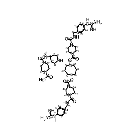 CN(C(=O)N1CCN(C(=O)O)CC1)C1CCNCC1.N=C(N)Nc1ccc(CNC(=O)N2CCN(C(=O)O[C@H]3CCC[C@@H](OC(=O)N4CCN(C(=O)NCc5ccc(NC(=N)N)cc5)CC4)CCC3)CC2)cc1